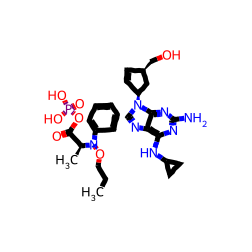 CCCON(c1ccccc1)[C@@H](C)C(=O)OP(=O)(O)O.Nc1nc(NC2CC2)c2ncn([C@H]3C=C[C@@H](CO)C3)c2n1